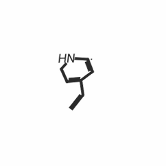 C=CC1=CCN[C]=C1